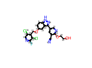 N#Cc1cc(-c2n[nH]c3ccc(OCc4c(Cl)cnc(F)c4Cl)cc23)cnc1OCCO